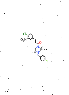 C[C@@H]1CN(C(=O)C=Cc2ccc(Cl)c([N+](=O)[O-])c2)[C@@H](C)CN1Cc1ccc(F)cc1